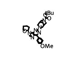 COc1ccc(-c2nc(N3CC4CC(CN(C(=O)OC(C)(C)C)C4)C3)nc3c2ncn3C2CCCCO2)cc1